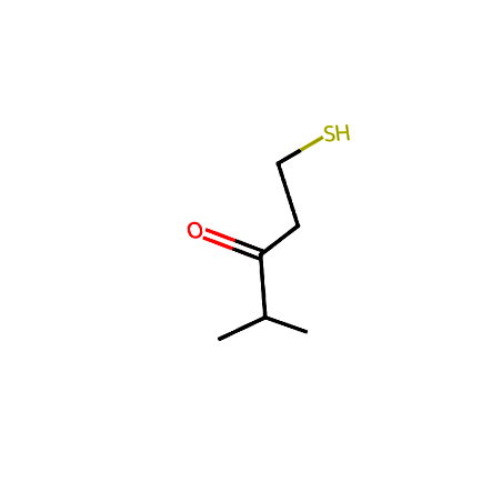 CC(C)C(=O)CCS